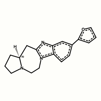 c1coc(-c2ccc3c(c2)nc2n3CCN3CCC[C@H]3C2)c1